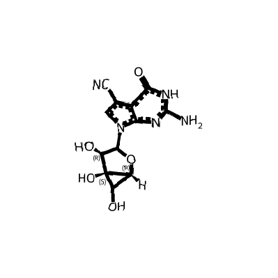 N#Cc1cn(C2O[C@@H]3C(O)[C@]3(O)[C@H]2O)c2nc(N)[nH]c(=O)c12